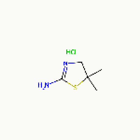 CC1(C)CN=C(N)S1.Cl